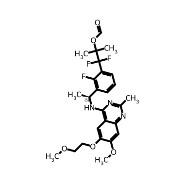 COCCOc1cc2c(N[C@@H](C)c3cccc(C(F)(F)C(C)(C)OC=O)c3F)nc(C)nc2cc1OC